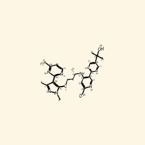 Cc1nn(C)c(OCC[C@H](C)Nc2cc(Cl)ncc2-c2ncc(C(C)(C)O)cn2)c1-c1nccc(N)n1